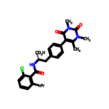 CCCc1cccc(Cl)c1C(=O)N[C@@H](Cc1ccc(-c2c(C)n(C)c(=O)n(C)c2=O)cc1)C(=O)O